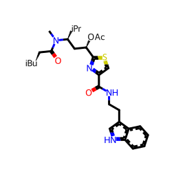 CC[C@H](C)CC(=O)N(C)[C@H](C[C@@H](OC(C)=O)c1nc(C(=O)NCCc2c[nH]c3ccccc23)cs1)C(C)C